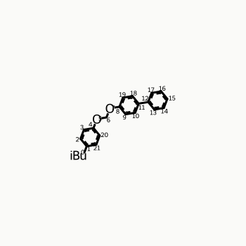 CCC(C)c1ccc(OCOc2ccc(-c3ccccc3)cc2)cc1